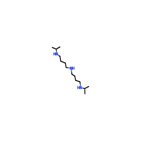 CC(C)NCCCCNCCCCNC(C)C